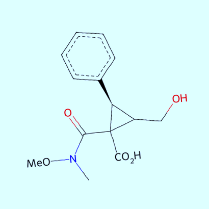 CON(C)C(=O)C1(C(=O)O)C(CO)[C@@H]1c1ccccc1